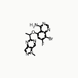 CC(Oc1cc(F)c(Br)c2ncnc(N)c12)c1ncc2c(cnn2C)n1